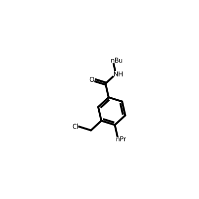 CCCCNC(=O)c1ccc(CCC)c(CCl)c1